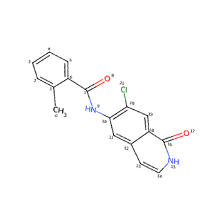 Cc1ccccc1C(=O)Nc1cc2cc[nH]c(=O)c2cc1Cl